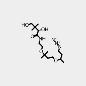 CC(CCN=[N+]=[N-])OCCC(C)(C)OCCNC(=O)[C@H](O)C(C)(C)CO